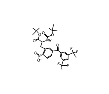 CC(C)(C)OC(=O)NC(Cc1cc(C(=O)c2cc(C(F)(F)F)cc(C(F)(F)F)c2)ccc1[N+](=O)[O-])C(=O)OC(C)(C)C